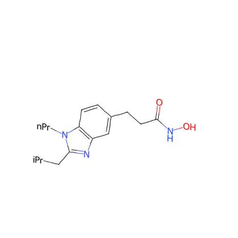 CCCn1c(CC(C)C)nc2cc(CCC(=O)NO)ccc21